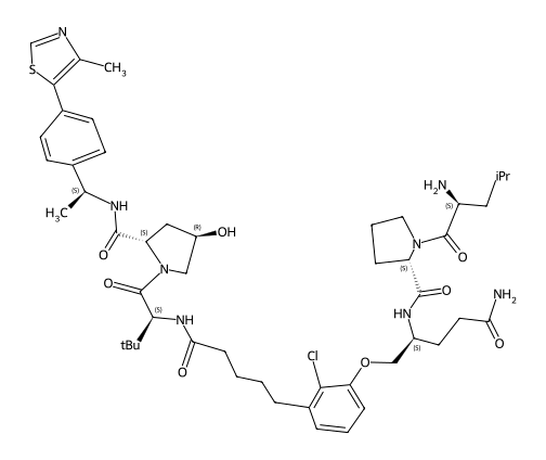 Cc1ncsc1-c1ccc([C@H](C)NC(=O)[C@@H]2C[C@@H](O)CN2C(=O)[C@@H](NC(=O)CCCCc2cccc(OC[C@H](CCC(N)=O)NC(=O)[C@@H]3CCCN3C(=O)[C@@H](N)CC(C)C)c2Cl)C(C)(C)C)cc1